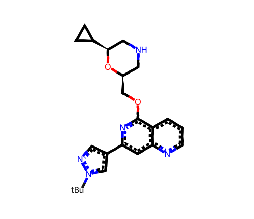 CC(C)(C)n1cc(-c2cc3ncccc3c(OC[C@@H]3CNC[C@H](C4CC4)O3)n2)cn1